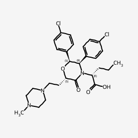 CCC[C@H](C(=O)O)N1C(=O)[C@H](CCN2CCN(C)CC2)O[C@@H](c2ccc(Cl)cc2)[C@H]1c1ccc(Cl)cc1